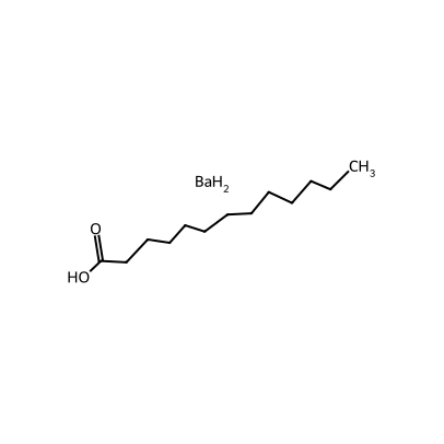 CCCCCCCCCCCCC(=O)O.[BaH2]